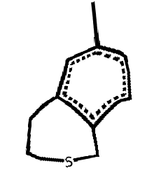 Cc1ccc2c(c1)CCSC2